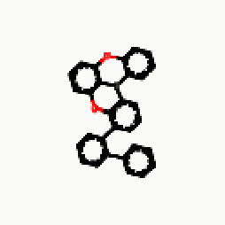 c1ccc(-c2ccccc2-c2cccc3c2Oc2cccc4c2B3c2ccccc2O4)cc1